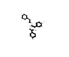 O=C(CC1CCCCC1)Nc1ncc(-c2ccc(F)cc2)nc1-c1ccc(O)cc1